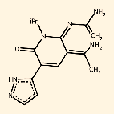 C=C(N)/N=C1\C(=C(\C)N)C=C(c2ccn[nH]2)C(=O)N1C(C)C